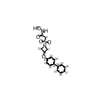 O=C(CS(=O)(=O)N1CC(Oc2ccc(-c3ccccc3)cc2)C1)NO